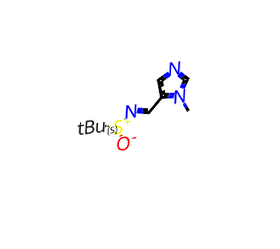 Cn1cncc1C=N[S@+]([O-])C(C)(C)C